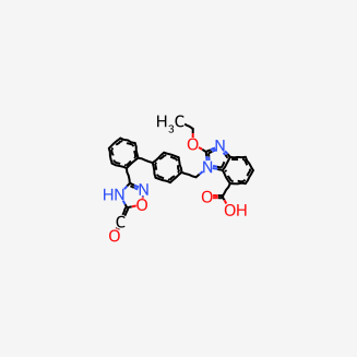 CCOc1nc2cccc(C(=O)O)c2n1Cc1ccc(-c2ccccc2C2=NOC(=C=O)N2)cc1